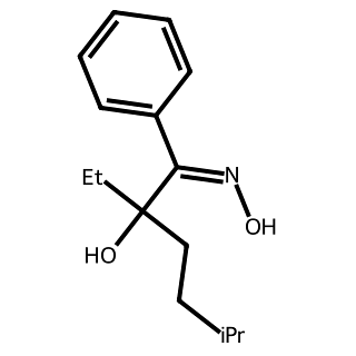 CCC(O)(CCC(C)C)C(=NO)c1ccccc1